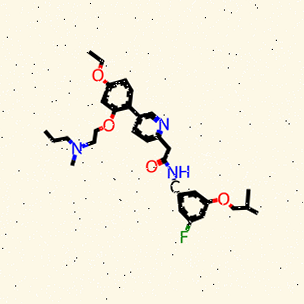 CCCN(C)CCOc1cc(OCC)ccc1-c1ccc(CC(=O)NCc2cc(F)cc(OCC(C)C)c2)nc1